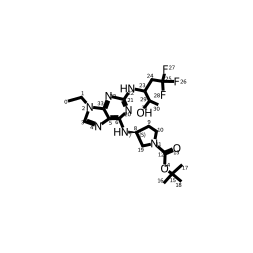 CCn1cnc2c(N[C@H]3CCN(C(=O)OC(C)(C)C)C3)nc(NC(CC(F)(F)F)C(C)O)nc21